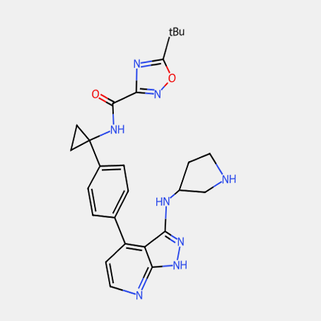 CC(C)(C)c1nc(C(=O)NC2(c3ccc(-c4ccnc5[nH]nc(NC6CCNC6)c45)cc3)CC2)no1